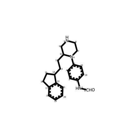 O=CNc1ccc(N2CCNCC2CCC2CCc3ccccc32)cc1